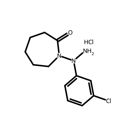 Cl.NN(c1cccc(Cl)c1)N1CCCCCC1=O